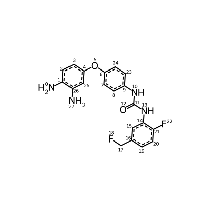 Nc1ccc(Oc2ccc(NC(=O)Nc3cc(CF)ccc3F)cc2)cc1N